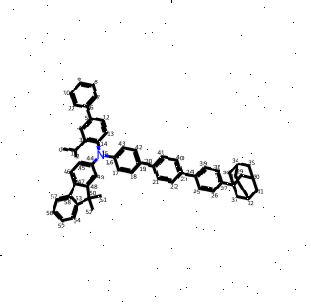 CC(C)c1cc(-c2ccccc2)ccc1N(c1ccc(-c2ccc(-c3ccc(C45CC6CC(CC(C6)C4)C5)cc3)cc2)cc1)c1ccc2c(c1)C(C)(C)c1ccccc1-2